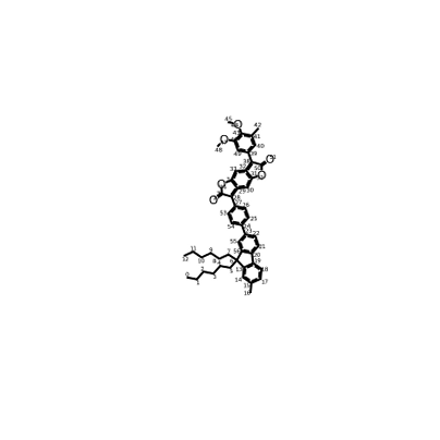 CCCCCCC1(CCCCCC)c2cc(C)ccc2-c2ccc(-c3ccc(C4=c5cc6c(cc5OC4=O)=C(c4cc(C)c(OC)c(OC)c4)C(=O)O6)cc3)cc21